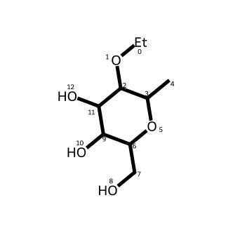 CCOC1C(C)OC(CO)C(O)C1O